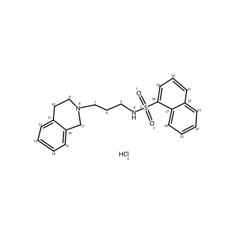 Cl.O=S(=O)(NCCCN1CCc2ccccc2C1)c1cccc2ccccc12